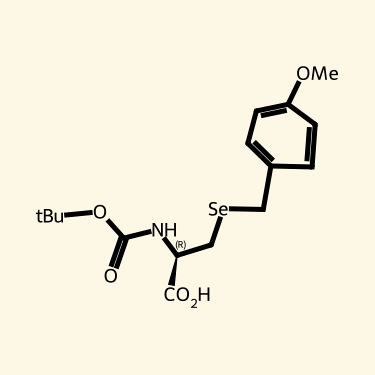 COc1ccc(C[Se]C[C@H](NC(=O)OC(C)(C)C)C(=O)O)cc1